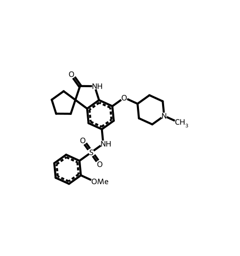 COc1ccccc1S(=O)(=O)Nc1cc(OC2CCN(C)CC2)c2c(c1)C1(CCCC1)C(=O)N2